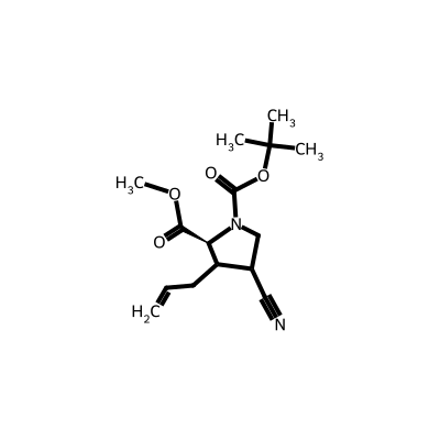 C=CCC1C(C#N)CN(C(=O)OC(C)(C)C)[C@@H]1C(=O)OC